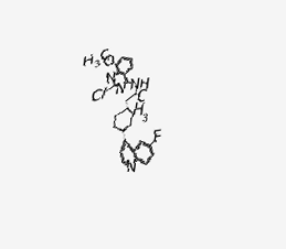 COc1cccc2c(N[C@H](C)C[C@H]3CC[C@@H](c4ccnc5ccc(F)cc54)CC3)nc(Cl)nc12